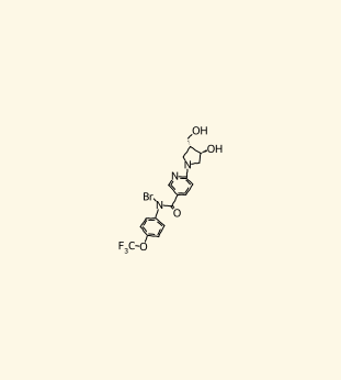 O=C(c1ccc(N2C[C@H](CO)[C@@H](O)C2)nc1)N(Br)c1ccc(OC(F)(F)F)cc1